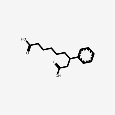 O=C(O)CCCCCC(CC(=O)O)c1ccccc1